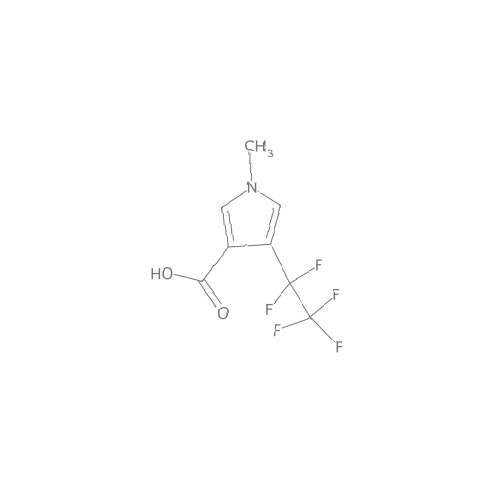 Cn1cc(C(=O)O)c(C(F)(F)C(F)(F)F)c1